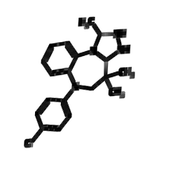 CC1NNC2N1c1ccccc1N(c1ccc(Cl)cc1)CC2(C)C